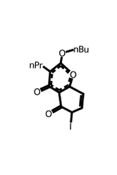 CCCCOc1oc2c(c(=O)c1CCC)C(=O)C(I)C=C2